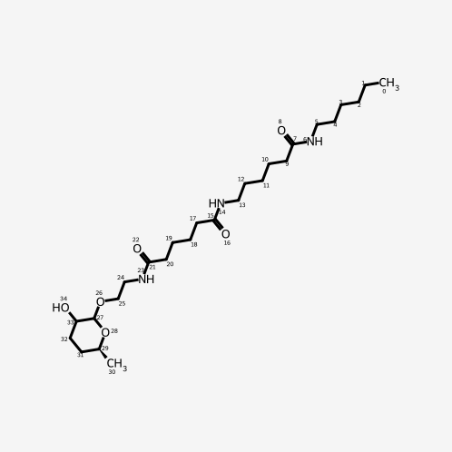 CCCCCCNC(=O)CCCCCNC(=O)CCCCC(=O)NCCOC1O[C@@H](C)CCC1O